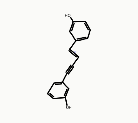 Oc1cccc(C#C/C=C/c2cccc(O)c2)c1